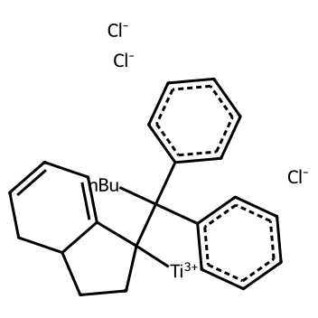 CCCCC(c1ccccc1)(c1ccccc1)[C]1([Ti+3])CCC2CC=CC=C21.[Cl-].[Cl-].[Cl-]